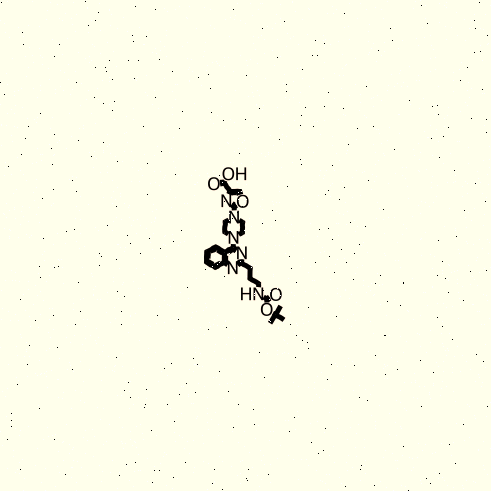 CC(C)(C)OC(=O)NCCCc1nc(N2CCN(c3nc(C(=O)O)co3)CC2)c2ccccc2n1